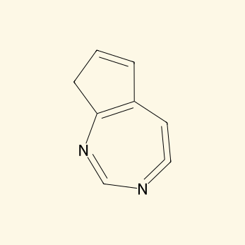 C1=CC2=C(CC=C2)N=CN=1